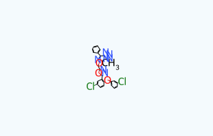 Cn1nnnc1/C(=N\OCc1nnc(-c2cc(Cl)ccc2Oc2cccc(Cl)c2)o1)c1ccccc1